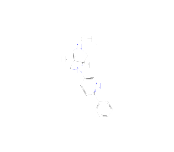 CN1C[C@@H]2CN(c3ccc(-c4ccccc4)nc3)[C@@H]2C1